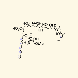 C=C/C=C/[C@H](C)[C@@H](O)C[C@H](C)OC(=O)CC(O)CC(O)CCC(O)C(O)CC(O)CC(O)(CCC(CCC(/C=C/C=C/C=C/C=C/C=C/C)OC[C@H](O)[C@@H](N)[C@H](O)COC)C(=O)O)OC